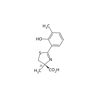 Cc1cccc(C2=N[C@@](C)(C(=O)O)CS2)c1O